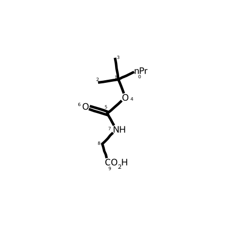 CCCC(C)(C)OC(=O)NCC(=O)O